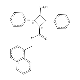 O=C(O)C1C(c2ccccc2)[C@@H](C(=O)OCc2cccc3ccccc23)[C@@H]1c1ccccc1